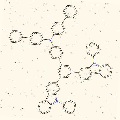 c1ccc(-c2ccc(N(c3ccc(-c4ccccc4)cc3)c3ccc(-c4cc(-c5ccc6c7ccccc7n(-c7ccccc7)c6c5)cc(-c5ccc6c7ccccc7n(-c7ccccc7)c6c5)c4)cc3)cc2)cc1